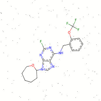 Fc1nc(NCc2ccccc2OC(F)(F)F)c2ncn(C3CCCCCO3)c2n1